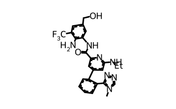 CCNc1cc(-c2ccccc2-c2nncn2C)cc(C(=O)Nc2cc(CO)cc(C(F)(F)F)c2N)n1